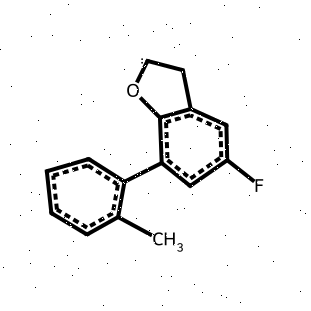 Cc1ccccc1-c1cc(F)cc2c1O[C]C2